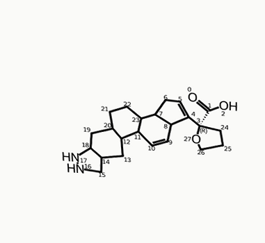 O=C(O)[C@]1(C2=CCC3C2C=CC2C4CC5CNNC5CC4CCC23)CCCO1